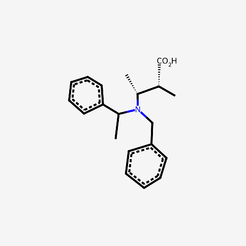 CC(c1ccccc1)N(Cc1ccccc1)[C@H](C)[C@@H](C)C(=O)O